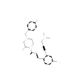 CC1CN(Cc2ccc(F)cc2)CCN1C(=O)C=Cc1ccc(Cl)cc1C#CCN(C)C